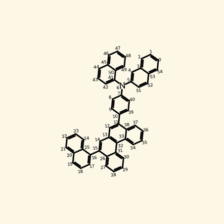 c1ccc2cc(N(c3ccc(-c4cc5cc(-c6cccc7ccccc67)c6ccccc6c5c5ccccc45)cc3)c3cccc4ccccc34)ccc2c1